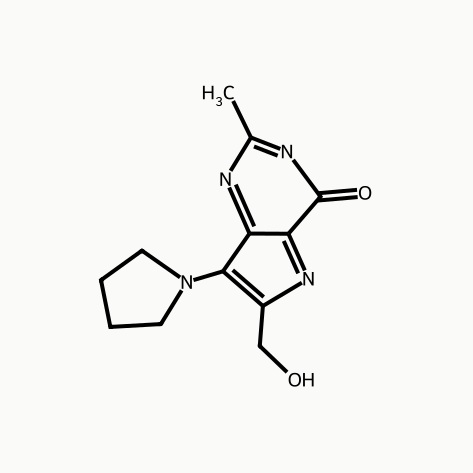 CC1=NC(=O)C2=NC(CO)=C(N3CCCC3)C2=N1